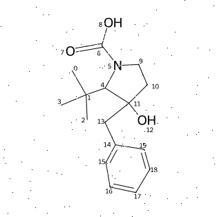 CC(C)(C)C1N(C(=O)O)CCC1(O)Cc1ccccc1